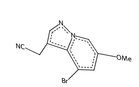 COc1cc(Br)c2c(CC#N)cnn2c1